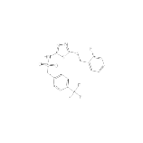 O=S(=O)(Cc1ccc(C(F)(F)F)cc1)Nc1nnc(SCc2ccccc2F)s1